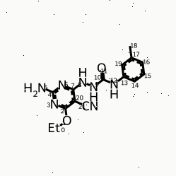 CCOc1nc(N)nc(NNC(=O)Nc2cccc(C)c2)c1C#N